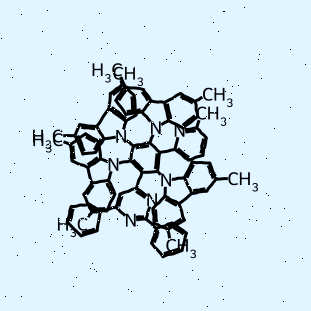 Cc1ccc2c(c1)c1cc(C)ccc1n2-c1c(-c2cccc(C)n2)c(-n2c3ccc(C)cc3c3cc(C)ccc32)c(-n2c3ccc(C)cc3c3cc(C)ccc32)c(-n2c3ccc(C)cc3c3cc(C)ccc32)c1-c1cc(-c2ccccc2)nc(-c2ccccc2)n1